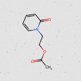 CC(=O)OCCn1ccccc1=O